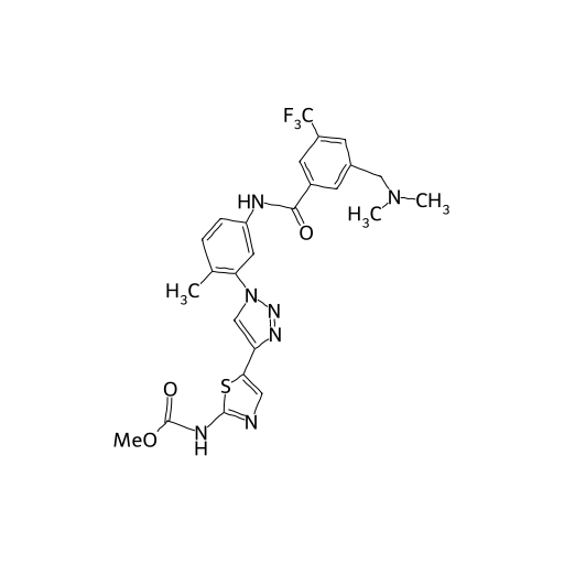 COC(=O)Nc1ncc(-c2cn(-c3cc(NC(=O)c4cc(CN(C)C)cc(C(F)(F)F)c4)ccc3C)nn2)s1